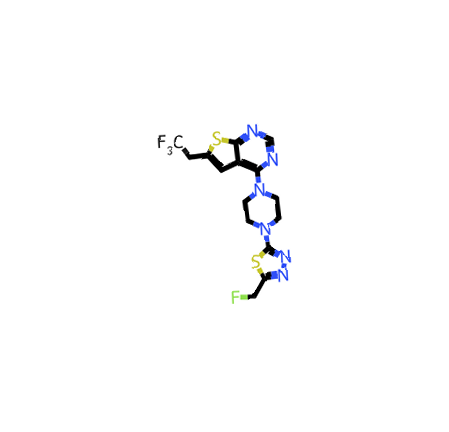 FCc1nnc(N2CCN(c3ncnc4sc(CC(F)(F)F)cc34)CC2)s1